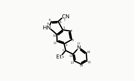 CCC(c1ccc2c(C#N)c[nH]c2c1)c1ccccn1